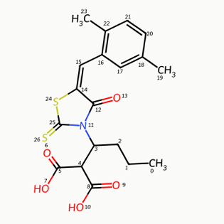 CCCC(C(C(=O)O)C(=O)O)N1C(=O)C(=Cc2cc(C)ccc2C)SC1=S